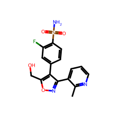 Cc1ncccc1-c1noc(CO)c1-c1ccc(S(N)(=O)=O)c(F)c1